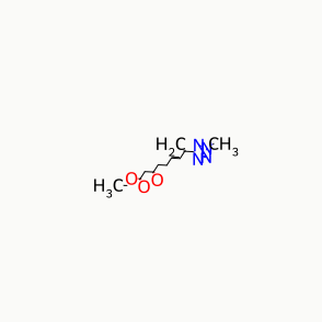 C=C(C=CCCC(=O)CC(=O)OCC)c1nnn(C)n1